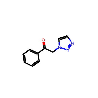 O=C(Cn1ccnn1)c1ccccc1